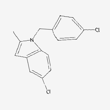 Cc1cc2cc(Cl)ccc2n1Cc1ccc(Cl)cc1